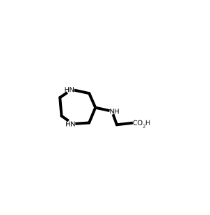 O=C(O)CNC1CNCCNC1